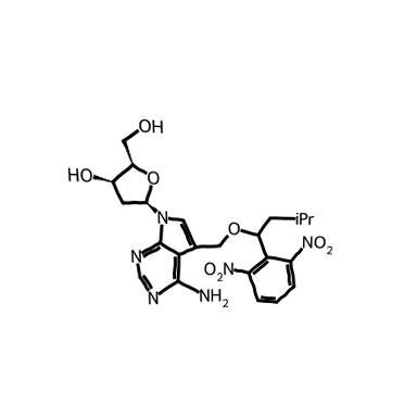 CC(C)CC(OCc1cn([C@H]2C[C@@H](O)[C@@H](CO)O2)c2ncnc(N)c12)c1c([N+](=O)[O-])cccc1[N+](=O)[O-]